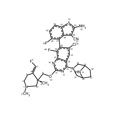 CN1CC/C(=C\F)[C@](C)(COc2nc(N3CC4CCC(C3)N4)c3cc(Cl)c(-c4c(F)ccc5sc(N)c(C#N)c45)c(F)c3n2)C1